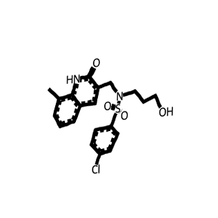 Cc1cccc2cc(CN(CCCO)S(=O)(=O)c3ccc(Cl)cc3)c(=O)[nH]c12